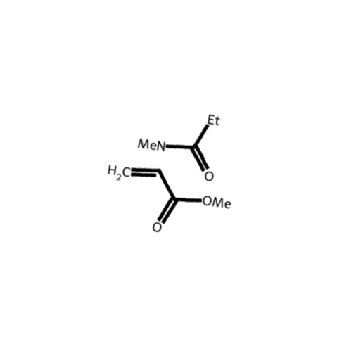 C=CC(=O)OC.CCC(=O)NC